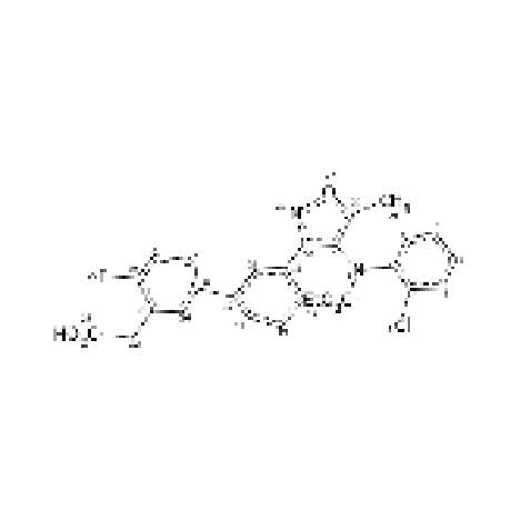 CCOC(=O)N(c1ccccc1Cl)c1c(-c2cccc(-c3ccc(F)c(CC(=O)O)c3)c2)noc1C